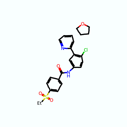 C1CCOC1.CCS(=O)(=O)c1ccc(C(=O)Nc2ccc(Cl)c(-c3ccccn3)c2)cc1